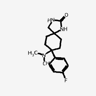 CN(C)C1(c2ccc(F)cc2)CCC2(CC1)CNC(=O)N2